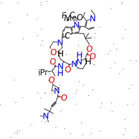 C=C/C(=C(\N=C/C)[C@H](C)OC)c1c2c3cc(ccc3n1CC(F)(F)F)N1CCO[C@@H](C[C@H](NC(=O)[C@@H](COC3CN(C(=O)C#CC(C)(C)N(C)C)C3)C(C)C)C(=O)N3CCC[C@H](N3)C(=O)OCC(C)(C)C2)C1